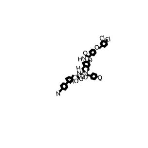 COc1ccc(C(=O)N2Cc3cc4c(cc3C[C@H]2C(=O)N[C@@H](Cc2ccc(-c3ccc(C#N)cc3)cc2)C(=O)O)NC(=O)C(c2ccc(OCc3ccc(Cl)c(Cl)c3)cc2)O4)cc1